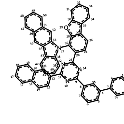 c1ccc(-c2cccc(-c3nc(-c4ccc5ccccc5c4)nc(-c4ccc5c(oc6ccccc65)c4-n4c5ccccc5c5cc6ccccc6cc54)n3)c2)cc1